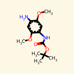 COc1cc(NC(=O)OC(C)(C)C)c(OC)cc1N